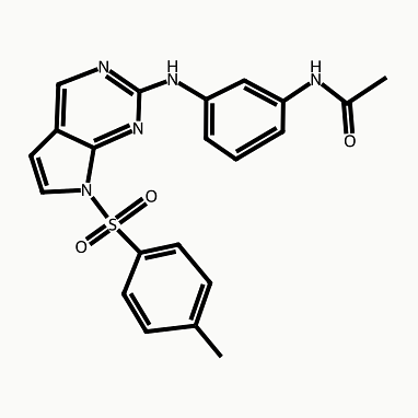 CC(=O)Nc1cccc(Nc2ncc3ccn(S(=O)(=O)c4ccc(C)cc4)c3n2)c1